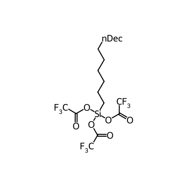 CCCCCCCCCCCCCCCC[Si](OC(=O)C(F)(F)F)(OC(=O)C(F)(F)F)OC(=O)C(F)(F)F